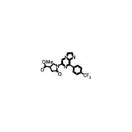 COC(=O)C1CC(=O)N(c2cn3ccnc3c(-c3ccc(C(F)(F)F)cc3)n2)C1